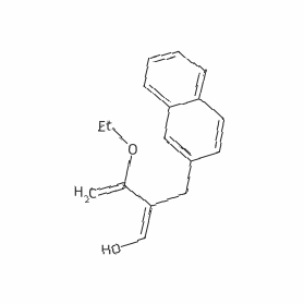 C=C(OCC)/C(=C\O)Cc1ccc2ccccc2c1